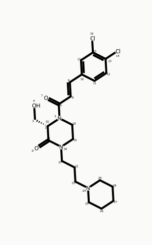 O=C1[C@H](CO)N(C(=O)C=Cc2ccc(Cl)c(Cl)c2)CCN1CCCN1CCCCC1